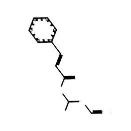 C=COC(C)OC(=O)C=Cc1ccccc1